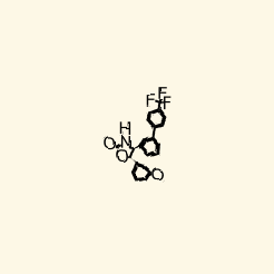 COc1cccc([C@@H]2OC(=O)N[C@H]2c2cccc(-c3ccc(C(F)(F)F)cc3)c2)c1